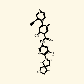 C#Cc1cnccc1C1=CC(Cl)C(C(=O)Nc2cnc(N3CCC4(CCOC4)C3)c(Cl)c2)C=C1F